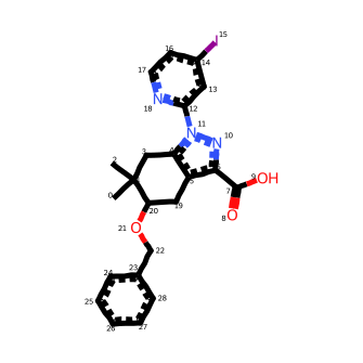 CC1(C)Cc2c(c(C(=O)O)nn2-c2cc(I)ccn2)CC1OCc1ccccc1